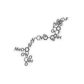 COc1cc(N2CC3(CN(CC4CCN(c5ccc(-c6cnc7[nH]cc(C(=O)c8c(F)ccc(NS(=O)(=O)N9CC[C@@H](F)C9)c8F)c7c6)cn5)CC4)C3)C2)cc2c1C(=O)N(C1CCC(=O)NC1=O)C2